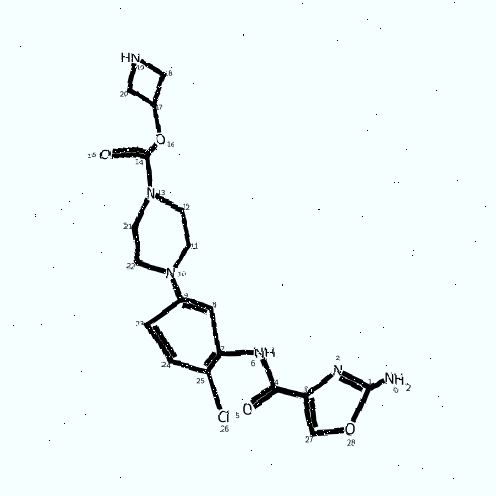 Nc1nc(C(=O)Nc2cc(N3CCN(C(=O)OC4CNC4)CC3)ccc2Cl)co1